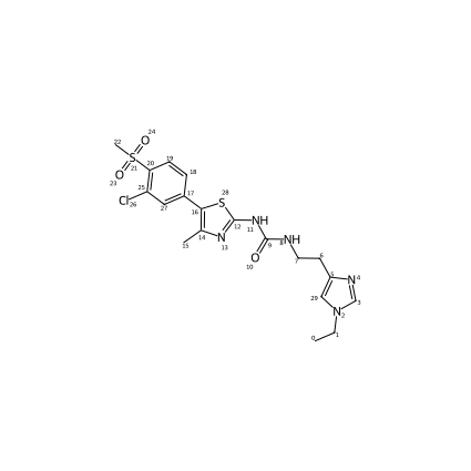 CCn1cnc(CCNC(=O)Nc2nc(C)c(-c3ccc(S(C)(=O)=O)c(Cl)c3)s2)c1